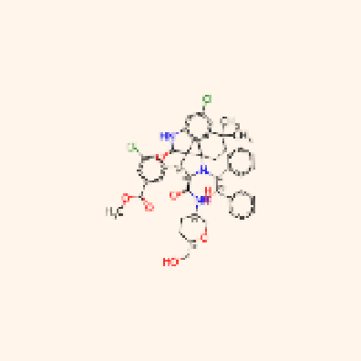 COC(=O)c1cc(Cl)cc([C@H]2[C@H](C(=O)N[C@@H]3CC[C@@H](CO)OC3)N([C@H](c3ccccc3)[C@@H](O)c3ccccc3)C3(CCC(C)(C)CC3)C23C(=O)Nc2cc(Cl)ccc23)c1